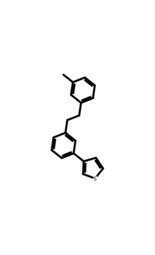 [CH2]c1cccc(CCc2cccc(-c3ccsc3)c2)c1